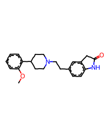 COc1ccccc1C1CCN(CCc2ccc3c(c2)CC(=O)N3)CC1